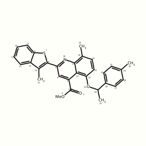 COC(=O)c1cc(-c2sc3ccccc3c2C)nc2c(C)ccc(OC(C)c3ccc(C)cc3)c12